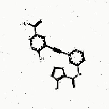 C=C(Nc1cccc(C#Cc2cc(C(=C)N)cnc2N)c1)C1=C(C)C=CC1